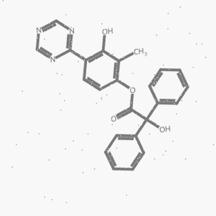 Cc1c(OC(=O)C(O)(c2ccccc2)c2ccccc2)ccc(-c2ncncn2)c1O